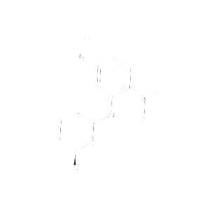 CC[C@@H](C)Nc1ncc(C(N)=O)c(NC2CC[C@@H](C)[C@H](O)C2)n1